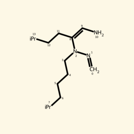 C=NN(CCCCC(C)C)/C(=C\N)CCC(C)C